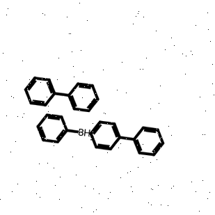 Bc1ccccc1.c1ccc(-c2ccccc2)cc1.c1ccc(-c2ccccc2)cc1